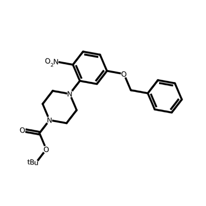 CC(C)(C)OC(=O)N1CCN(c2cc(OCc3ccccc3)ccc2[N+](=O)[O-])CC1